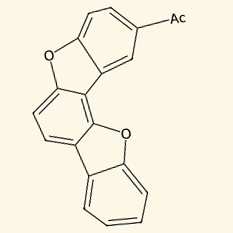 CC(=O)c1ccc2oc3ccc4c5ccccc5oc4c3c2c1